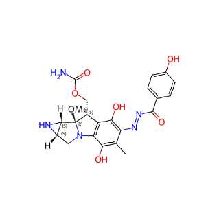 CO[C@@]12[C@H](COC(N)=O)c3c(O)c(N=NC(=O)c4ccc(O)cc4)c(C)c(O)c3N1C[C@@H]1N[C@@H]12